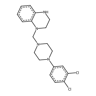 Clc1ccc(N2CCN(CN3CCNc4ccccc43)CC2)cc1Cl